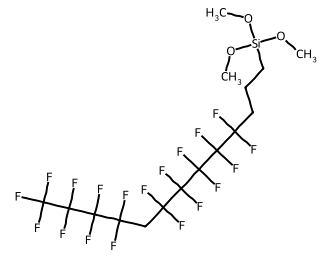 CO[Si](CCCC(F)(F)C(F)(F)C(F)(F)C(F)(F)C(F)(F)CC(F)(F)C(F)(F)C(F)(F)C(F)(F)F)(OC)OC